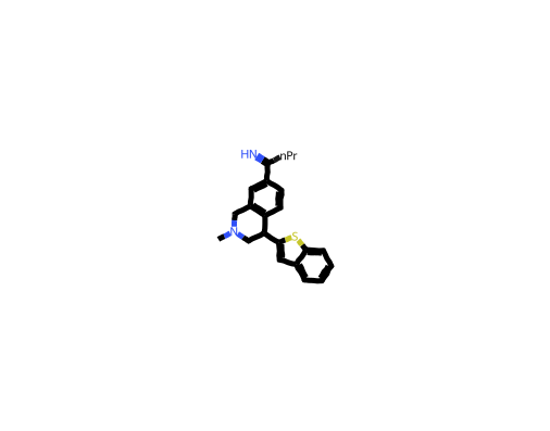 CCCC(=N)c1ccc2c(c1)CN(C)CC2c1cc2ccccc2s1